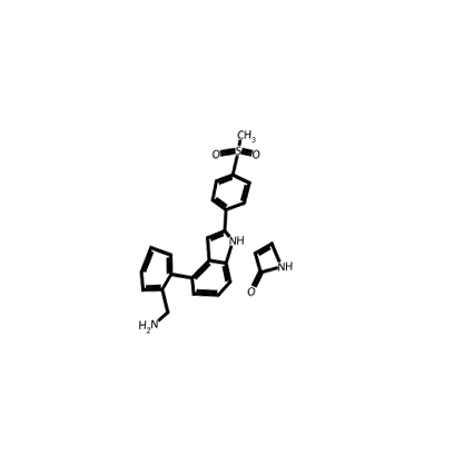 CS(=O)(=O)c1ccc(-c2cc3c(-c4ccccc4CN)cccc3[nH]2)cc1.O=C1C=CN1